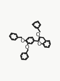 c1ccc(COC2=C(c3ccc(OCc4ccccc4)c(OCc4ccccc4)c3)Oc3ccccc3C2)cc1